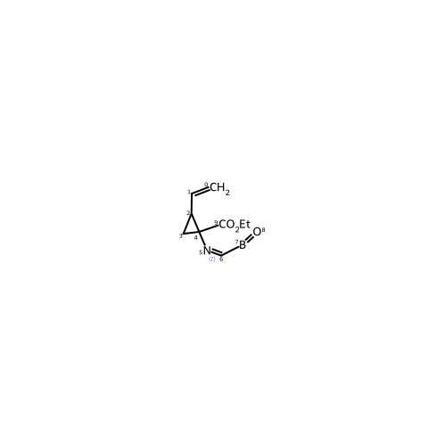 C=CC1CC1(/N=C\B=O)C(=O)OCC